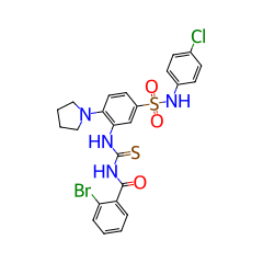 O=C(NC(=S)Nc1cc(S(=O)(=O)Nc2ccc(Cl)cc2)ccc1N1CCCC1)c1ccccc1Br